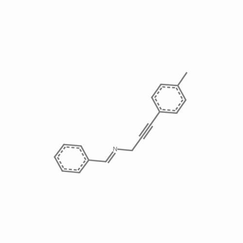 Cc1ccc(C#CC/N=C/c2ccccc2)cc1